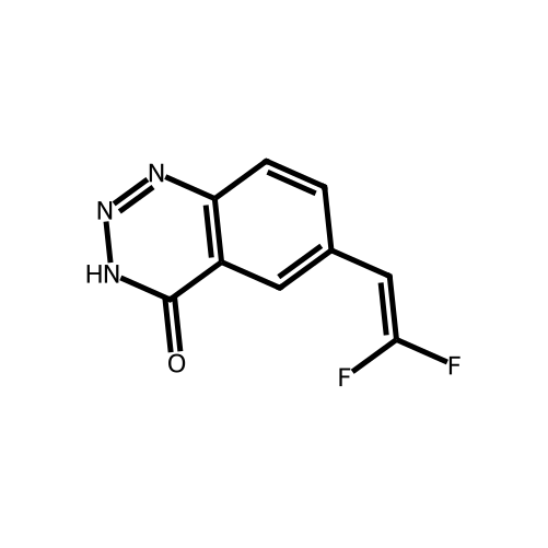 O=c1[nH]nnc2ccc(C=C(F)F)cc12